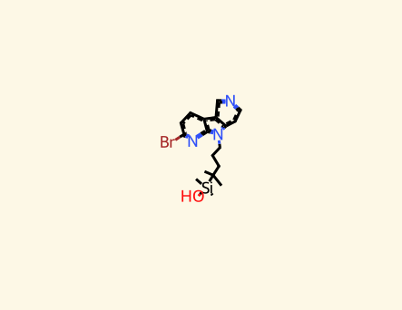 CC(C)(CCCn1c2ccncc2c2ccc(Br)nc21)[Si](C)(C)O